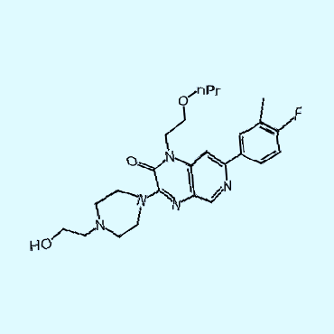 CCCOCCn1c(=O)c(N2CCN(CCO)CC2)nc2cnc(-c3ccc(F)c(C)c3)cc21